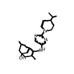 CC1CC2CC(O)(C1)CC(C)C2Nc1cnc(N2CCC(C(C)C)CC2)nc1